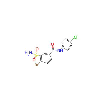 NS(=O)(=O)c1cc(C(=O)Nc2ccc(Cl)cc2)ccc1Br